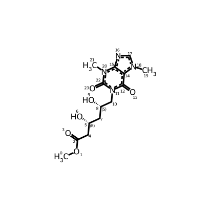 COC(=O)C[C@H](O)C[C@H](O)Cn1c(=O)c2c(ncn2C)n(C)c1=O